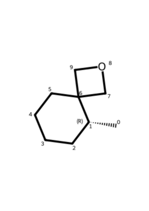 C[C@@H]1CCCCC12COC2